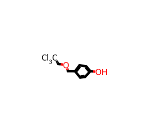 Oc1ccc(COCC(Cl)(Cl)Cl)cc1